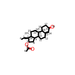 C/C=C1\C(OC(C)=O)CC2C3CCC4=CC(=O)CC[C@]4(C)C3CC[C@]12C